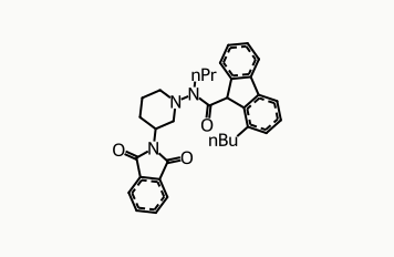 CCCCc1cccc2c1C(C(=O)N(CCC)N1CCCC(N3C(=O)c4ccccc4C3=O)C1)c1ccccc1-2